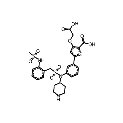 CS(=O)(=O)Nc1ccccc1CS(=O)(=O)N(c1cccc(-c2cc(OCC(=O)O)c(C(=O)O)s2)c1)C1CCNCC1